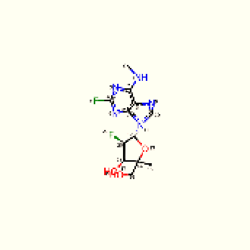 CNc1nc(F)nc2c1ncn2[C@@H]1O[C@](C)(CO)[C@@H](O)[C@H]1F